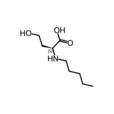 CCCCCN[C@@H](CCO)C(=O)O